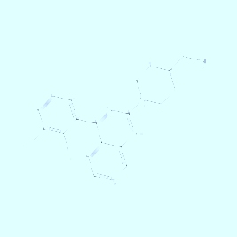 NCC1CCN(c2nc(-c3cccc(F)c3F)c3ccccc3n2)CC1